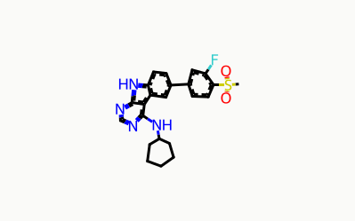 CS(=O)(=O)c1ccc(-c2ccc3[nH]c4ncnc(NC5CCCCC5)c4c3c2)cc1F